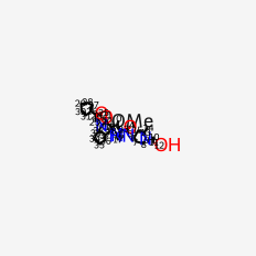 COc1c(C(=O)NC2CCN(CCO)C(C)C2)n(C)c2c1c(=O)n(CC(=O)c1ccccc1)c1ccccc21